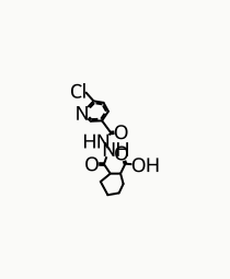 O=C(NNC(=O)C1CCCCC1C(=O)O)c1ccc(Cl)nc1